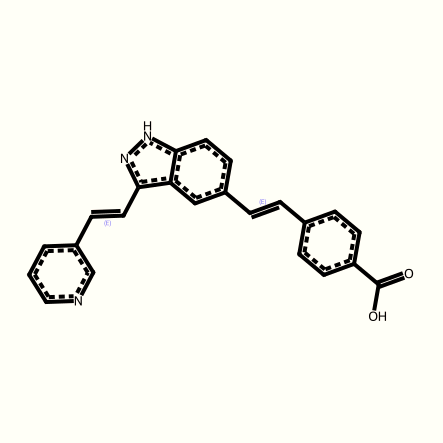 O=C(O)c1ccc(/C=C/c2ccc3[nH]nc(/C=C/c4cccnc4)c3c2)cc1